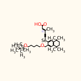 C/C(C#C[Se]c1cc2c(cc1COCCCCCO[Si](C)(C)C(C)(C)C)C(C)(C)CCC2(C)C)=C\C(=O)O